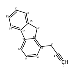 C#CCc1cccc2c1Cc1ccccc1-2